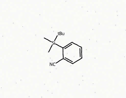 CC(C)(C)[Si](C)(C)c1ccccc1C#N